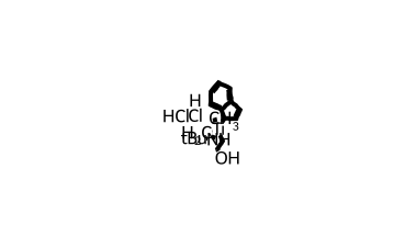 Cl.Cl.[CH2]=[Ti]([CH3])([CH2]CO)([NH]C(C)(C)C)[CH]1C=Cc2ccccc21